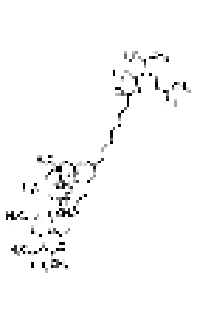 CC(C)CCC(C(C)C)C(C)OC(=O)CCCCCCCC(CCCCCCCC(=O)OC(C)C(CCC(C)C)C(C)C)OC(=O)CC(C)(C)CC(C)(C)CN(C)C